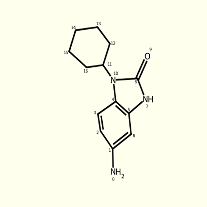 Nc1ccc2c(c1)[nH]c(=O)n2C1CCCCC1